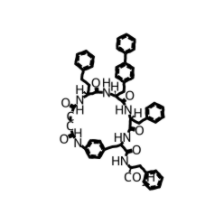 O=C1CCC(=O)N[C@H](CCc2ccccc2)C(=O)N[C@@H](Cc2ccc(-c3ccccc3)cc2)C(=O)N[C@H](Cc2ccccc2)C(=O)NC(C(=O)N[C@@H](Cc2ccccc2)C(=O)O)c2ccc(cc2)N1